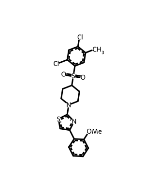 COc1ccccc1-c1csc(N2CCC(S(=O)(=O)c3cc(C)c(Cl)cc3Cl)CC2)n1